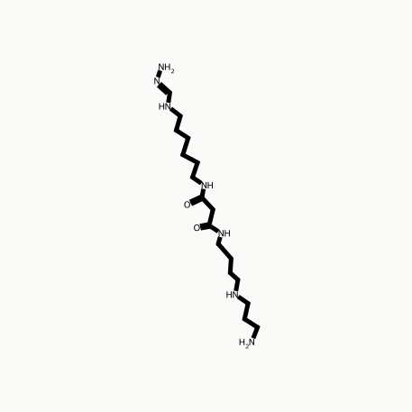 NCCCNCCCCNC(=O)CC(=O)NCCCCCCNC=NN